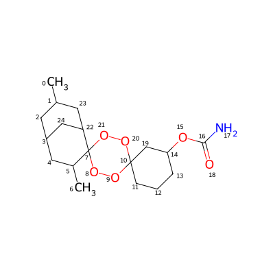 CC1CC2CC(C)C3(OOC4(CCCC(OC(N)=O)C4)OO3)C(C1)C2